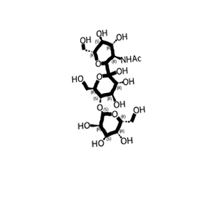 CC(=O)N[C@H]1C(C2(O)O[C@H](CO)[C@@H](O[C@@H]3O[C@H](CO)[C@H](O)[C@H](O)[C@H]3O)[C@H](O)[C@H]2O)O[C@H](CO)[C@@H](O)[C@@H]1O